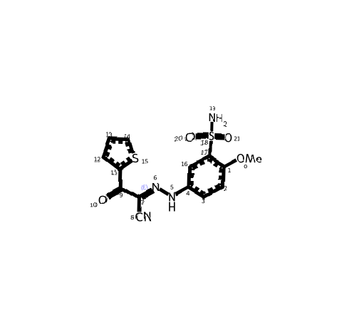 COc1ccc(N/N=C(\C#N)C(=O)c2cccs2)cc1S(N)(=O)=O